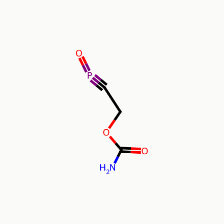 NC(=O)OCC#P=O